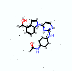 CC(=O)NC1CCC(Nc2nccc(-n3ccc4c(C(C)O)cccc43)n2)CC1